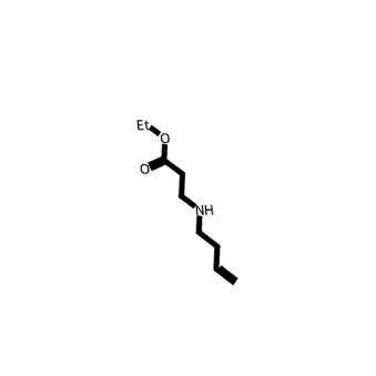 C=CCCNCCC(=O)OCC